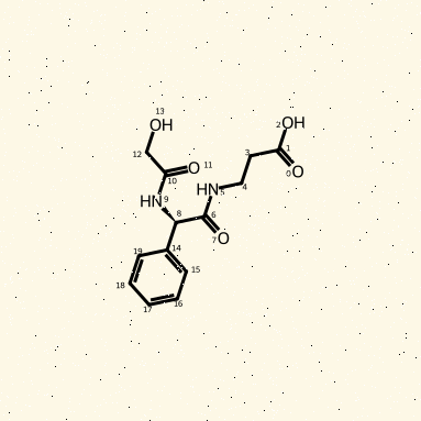 O=C(O)CCNC(=O)[C@H](NC(=O)CO)c1ccccc1